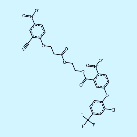 N#Cc1cc([N+](=O)[O-])ccc1OCCC(=O)OCCOC(=O)c1cc(Oc2ccc(C(F)(F)F)cc2Cl)ccc1[N+](=O)[O-]